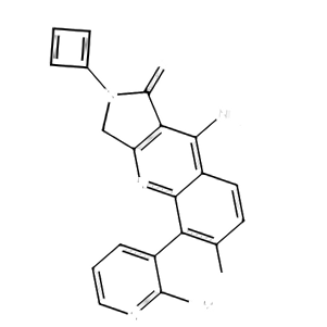 COc1ncccc1-c1c(F)ccc2c(N)c3c(nc12)CN(C1=CC=C1)C3=O